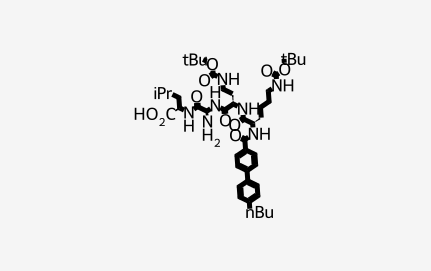 CCCCc1ccc(-c2ccc(C(=O)N[C@@H](CCCCNC(=O)OC(C)(C)C)C(=O)N[C@@H](CCNC(=O)OC(C)(C)C)C(=O)N[C@@H](N)C(=O)N[C@@H](CC(C)C)C(=O)O)cc2)cc1